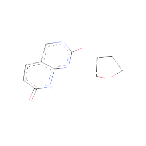 O=c1ccc2cnc(O[C@@H]3CCOC3)nc2[nH]1